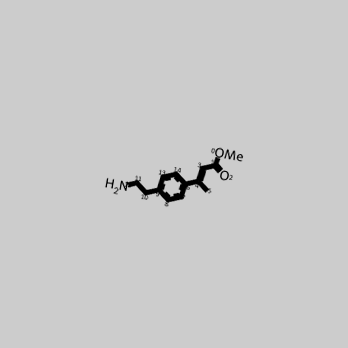 COC(=O)C=C(C)c1ccc(CCN)cc1